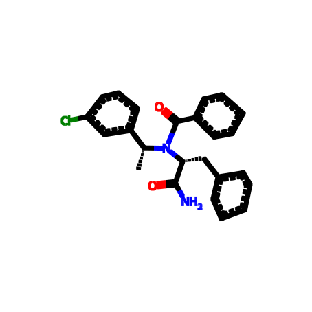 C[C@H](c1cccc(Cl)c1)N(C(=O)c1ccccc1)[C@H](Cc1ccccc1)C(N)=O